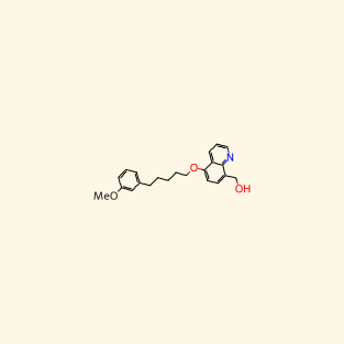 COc1cccc(CCCCCOc2ccc(CO)c3ncccc23)c1